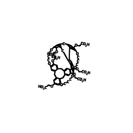 O=C(O)COc1cc2c3cc1OCCCOc1cc4c(cc1OCC(=O)O)Cc1cc5c(OCC(=O)O)cc1Cc1cc(c(OCC(=O)O)cc1C4)OCCCOc1cc(c(cc1OCC(=O)O)Cc1cc(c(OCC(=O)O)cc1C3)OCCCO5)C2